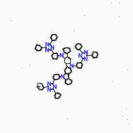 C1=C2c3ccccc3N(c3cccc(-c4nc(-c5ccccc5)nc(-c5ccccc5)n4)c3)C2CC2c3cc4c(cc3N(c3cccc(-c5nc(-c6ccccc6)nc(-c6ccccc6)n5)c3)C12)c1ccccc1n4-c1cccc(-c2nc(-c3ccccc3)nc(-c3ccccc3)n2)c1